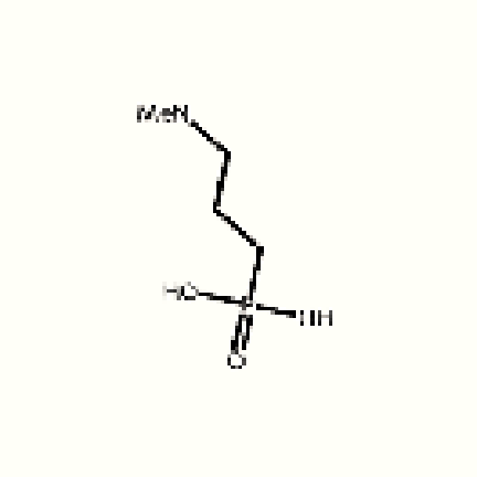 CNCCCP(=O)(O)O